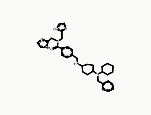 O=C(c1ccc(CNC2CCC(N(Cc3ccccc3)C3CCCCC3)CC2)cc1)N(Cc1ncc[nH]1)Cc1ncc[nH]1